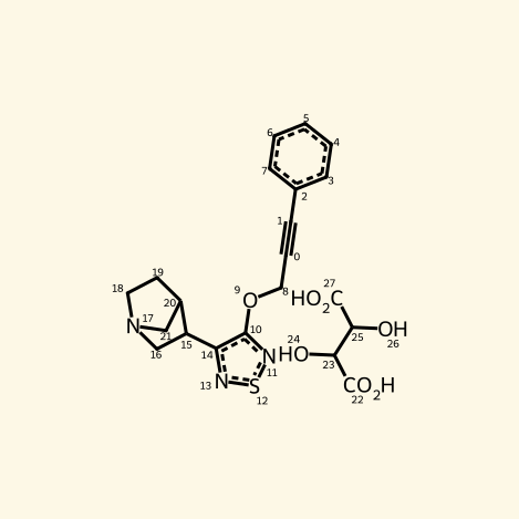 C(#Cc1ccccc1)COc1nsnc1C1CN2CCC1C2.O=C(O)C(O)C(O)C(=O)O